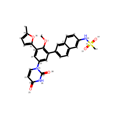 COc1c(-c2ccc3cc(NS(C)(=O)=O)ccc3c2)cc(-n2ccc(=O)[nH]c2=O)cc1-c1ccc(C)o1